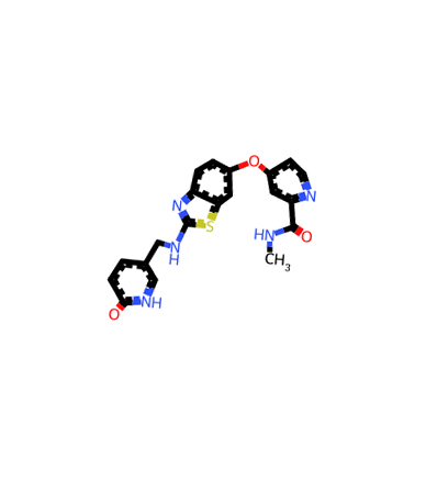 CNC(=O)c1cc(Oc2ccc3nc(NCc4ccc(=O)[nH]c4)sc3c2)ccn1